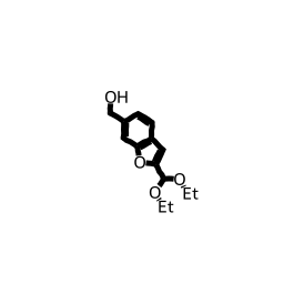 CCOC(OCC)c1cc2ccc(CO)cc2o1